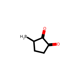 BC1CCC(=O)C1=O